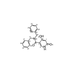 O=C(c1c[nH]c(=O)cc1O)N(Cc1ccccc1)Cc1ccccn1